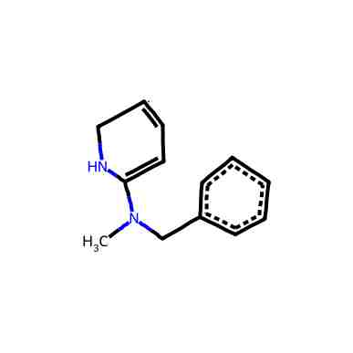 CN(Cc1ccccc1)C1=CC=[C]CN1